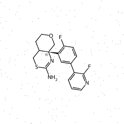 NC1=N[C@@]2(c3cc(-c4cccnc4F)ccc3F)COCCC2CS1